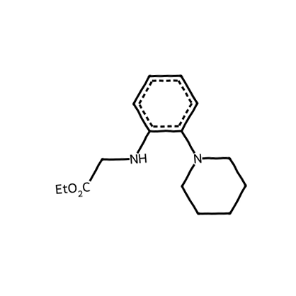 CCOC(=O)CNc1ccccc1N1CCCCC1